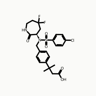 CC(C)(CC(=O)O)c1ccc(CN([C@@H]2CC(F)(F)CCNC2=O)S(=O)(=O)c2ccc(Cl)cc2)cc1